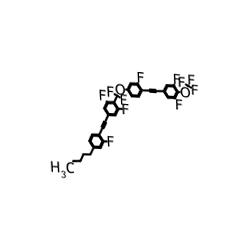 CCCCCc1ccc(C#Cc2cc(F)c(C(F)(F)Oc3ccc(C#Cc4cc(F)c(OC(F)(F)F)c(F)c4)c(F)c3)c(F)c2)c(F)c1